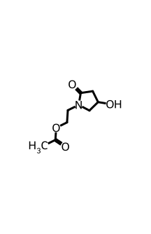 CC(=O)OCCN1CC(O)CC1=O